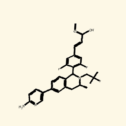 COC(O)/C=C/c1cc(F)c(C2c3ccc(-c4ccc(N)nc4)cc3CC(C)N2CC(C)(C)F)c(F)c1